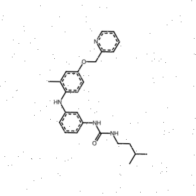 Cc1cc(OCc2ccccn2)ccc1Nc1cccc(NC(=O)NCCC(C)C)c1